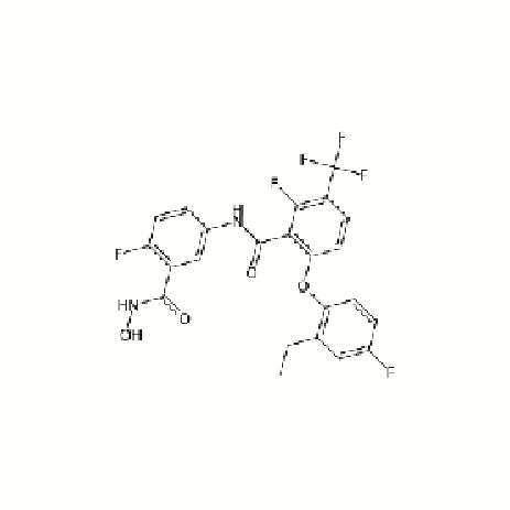 CCc1cc(F)ccc1Oc1ccc(C(F)(F)F)c(F)c1C(=O)Nc1ccc(F)c(C(=O)NO)c1